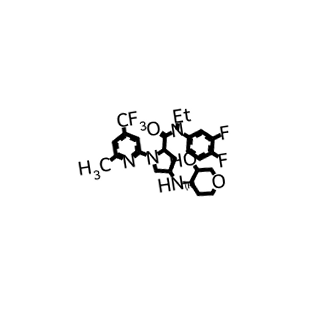 CCN(C(=O)C1CC(N[C@@H]2CCOCC2O)CN1c1cc(C(F)(F)F)cc(C)n1)c1ccc(F)c(F)c1